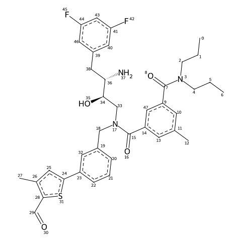 CCCN(CCC)C(=O)c1cc(C)cc(C(=O)N(Cc2cccc(-c3cc(C)c(C=O)s3)c2)C[C@@H](O)[C@@H](N)Cc2cc(F)cc(F)c2)c1